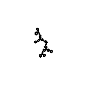 C(=Cc1cccc(C=Cc2ccc(N(c3ccc(/C=C/C=C(c4ccccc4)c4ccccc4)cc3)c3ccc(-c4ccccc4)cc3)cc2)c1)c1ccc(N(c2ccc(/C=C/C=C(c3ccccc3)c3ccccc3)cc2)c2ccc(-c3ccccc3)cc2)cc1